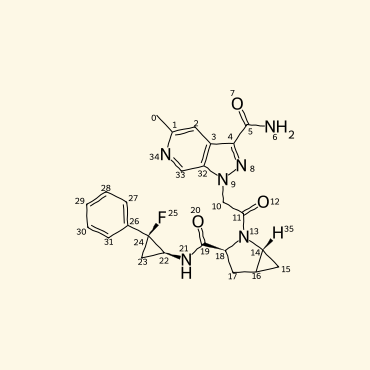 Cc1cc2c(C(N)=O)nn(CC(=O)N3[C@@H]4CC4C[C@H]3C(=O)N[C@H]3C[C@]3(F)c3ccccc3)c2cn1